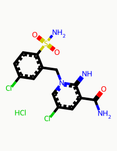 Cl.N=c1c(C(N)=O)cc(Cl)cn1Cc1cc(Cl)ccc1S(N)(=O)=O